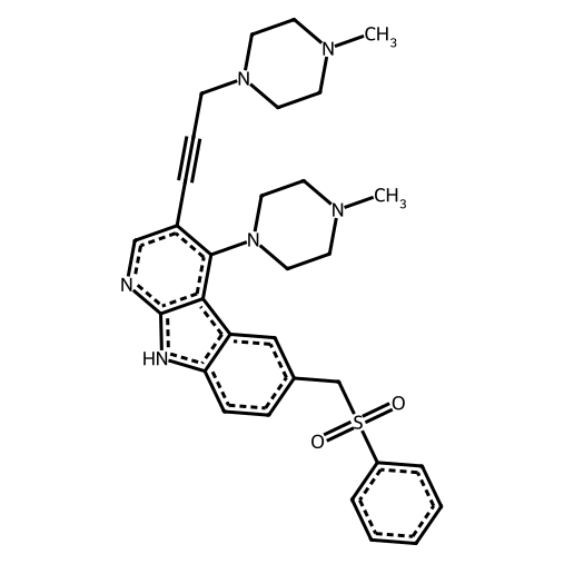 CN1CCN(CC#Cc2cnc3[nH]c4ccc(CS(=O)(=O)c5ccccc5)cc4c3c2N2CCN(C)CC2)CC1